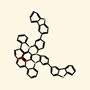 c1ccc(-c2ccccc2N2c3cc(-c4ccc5sc6ccccc6c5c4)ccc3B3c4ccc(-c5ccc6sc7ccccc7c6c5)cc4N(c4ccccc4-c4ccccc4)c4cccc2c43)cc1